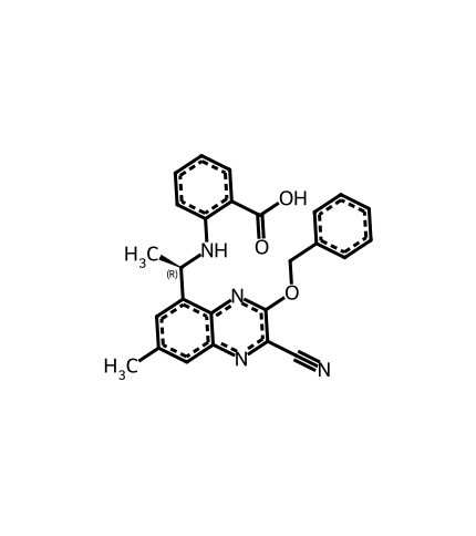 Cc1cc([C@@H](C)Nc2ccccc2C(=O)O)c2nc(OCc3ccccc3)c(C#N)nc2c1